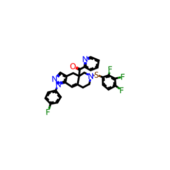 O=C(c1ccccn1)C12Cc3cnn(-c4ccc(F)cc4)c3C=C1CCN(Sc1ccc(F)c(F)c1F)C2